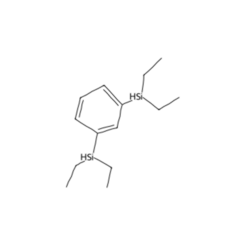 CC[SiH](CC)c1cccc([SiH](CC)CC)c1